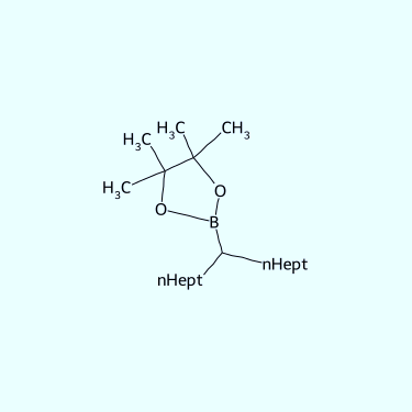 CCCCCCCC(CCCCCCC)B1OC(C)(C)C(C)(C)O1